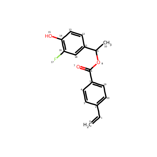 C=Cc1ccc(C(=O)OC(C)c2ccc(O)c(F)c2)cc1